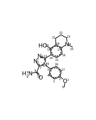 COc1ccc(-n2c(C(N)=O)nnc2-c2ccc3c(c2O)CCCN3C)cc1